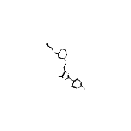 Cc1oc(-c2ccc(F)cc2)nc1COC1CCCC(OCC=O)C1